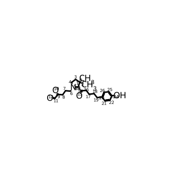 CC1(C)CCN(CCCC(=O)C=O)[C@@H]1C(=O)CCCCc1ccc(O)cc1